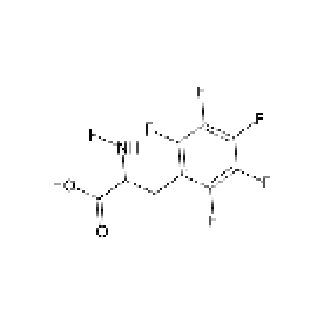 O=C(O)C(Cc1c(F)c(F)c(F)c(F)c1F)NF